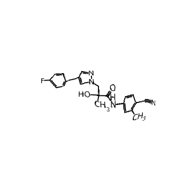 Cc1cc(NC(=O)C(C)(O)Cn2cc(-c3ccc(F)cc3)cn2)ccc1C#N